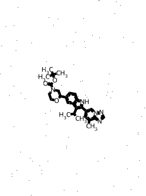 Cc1cc(-c2[nH]c3ccc(C4CN(C(=O)OC(C)(C)C)CCO4)cc3c2C(C)C)cn2ncnc12